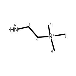 C[N+](C)(C)CC[NH]